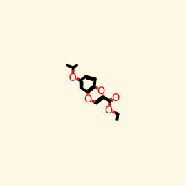 CCOC(=O)C1=COc2cc(OC(C)C)ccc2O1